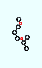 c1ccc(Oc2ccc(-c3cccc(-c4cccc(Oc5ccc(-c6ccccc6)cc5-c5ccccc5)c4)c3)cc2)cc1